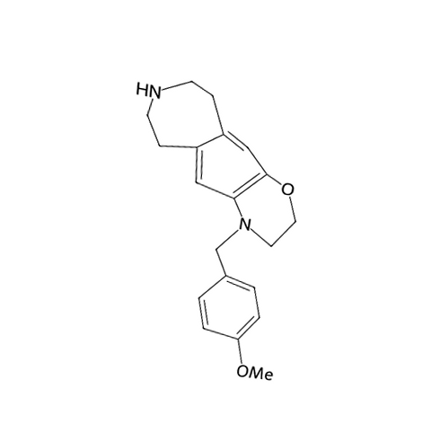 COc1ccc(CN2CCOc3cc4c(cc32)CCNCC4)cc1